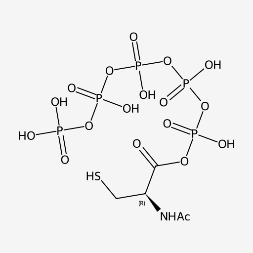 CC(=O)N[C@@H](CS)C(=O)OP(=O)(O)OP(=O)(O)OP(=O)(O)OP(=O)(O)OP(=O)(O)O